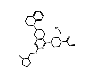 C=CC(=O)N1CCN(c2nc(OCC3CCCN3C)nc3c2CCC(N2CCCc4ccccc42)C3)C[C@@H]1CC#N